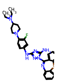 CCN(CC)C1CCN(c2ccc(Nc3nc(N)n(C4=Nc5ccccc5Sc5ccccc54)n3)cc2F)CC1